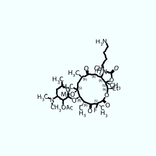 CC[C@H]1OC(=O)[C@@](C)(F)C(=O)[C@H](C)[C@@H](OC2OC(C)CC(N(C)C)C2OC(C)=O)[C@@](C)(OC)C[C@@H](C)C(=O)[C@H](C)[C@H]2N(CCCCN)C(=O)O[C@]12C